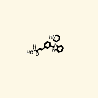 O=C(C=Cc1cccc(-c2nc3ccccc3n2[C@H]2CCCNC2)c1)NO